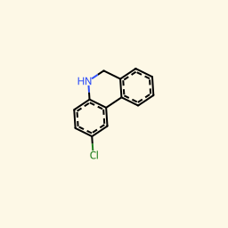 Clc1ccc2c(c1)-c1ccccc1CN2